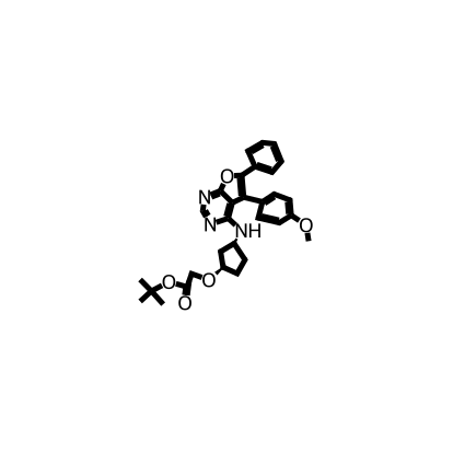 COc1ccc(-c2c(-c3ccccc3)oc3ncnc(N[C@@H]4CC[C@@H](OCC(=O)OC(C)(C)C)C4)c23)cc1